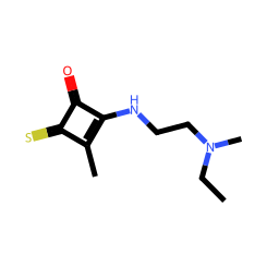 CCN(C)CCNc1c(C)c(=S)c1=O